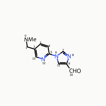 CNCc1ccc(-n2cnc(C=O)c2)nc1